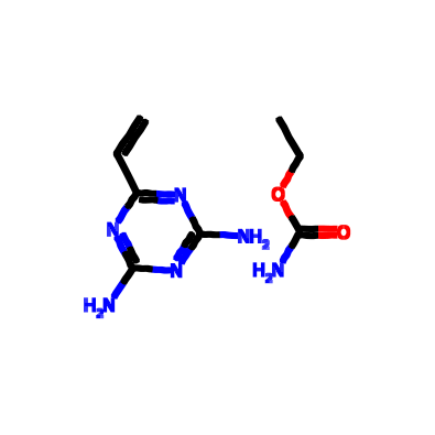 C=Cc1nc(N)nc(N)n1.CCOC(N)=O